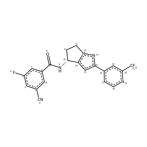 N#Cc1cc(F)cc(C(=O)N[C@@H]2CCn3nc(-c4ccnc(C(F)(F)F)c4)cc32)c1